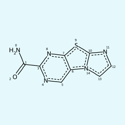 NC(=O)c1ncc2c(n1)sc1nccn12